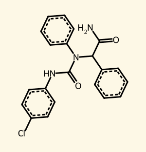 NC(=O)C(c1ccccc1)N(C(=O)Nc1ccc(Cl)cc1)c1ccccc1